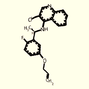 C=CCOc1ccc(F)c([C@@H](C)Nc2c(Cl)cnc3ccccc23)c1